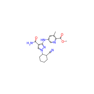 COC(=O)c1ncc(Nc2nn(C3CCCCC3C#N)cc2C(N)=O)cc1C